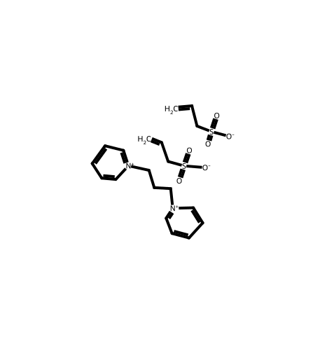 C=CCS(=O)(=O)[O-].C=CCS(=O)(=O)[O-].c1cc[n+](CCC[n+]2ccccc2)cc1